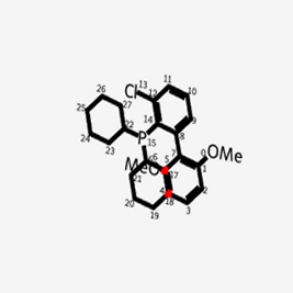 COc1cccc(OC)c1-c1cccc(Cl)c1P(C1CCCCC1)C1CCCCC1